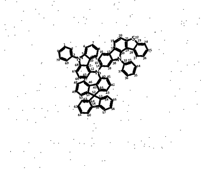 c1ccc(-n2c3ccccc3c3c(N(c4ccc5c6ccc7sc8ccccc8c7c6n(-c6ccccc6)c5c4)c4cccc5c4-c4ccccc4C54c5ccccc5-c5ccccc54)cccc32)cc1